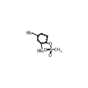 CC(C)(C)c1ccc(OS(C)(=O)=O)c(C(C)(C)C)c1